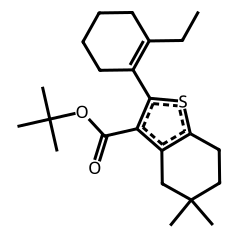 CCC1=C(c2sc3c(c2C(=O)OC(C)(C)C)CC(C)(C)CC3)CCCC1